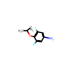 CC(C)Oc1c(F)cc(N)cc1F